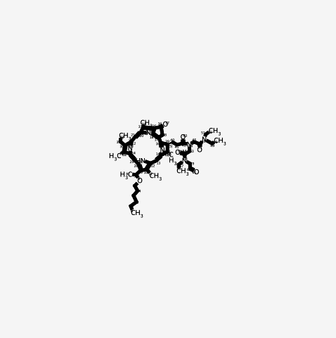 CCCCCCOC(C)c1c(C)c2cc3nc(c4c5[nH]c(cc6nc(cc1[nH]2)C(C)=C6CC)c(C)c5C(=O)C4)[C@@H](CCC(=O)N(CC(=O)N(CC)CC)CC(=O)N(CC)CC=O)[C@@H]3C